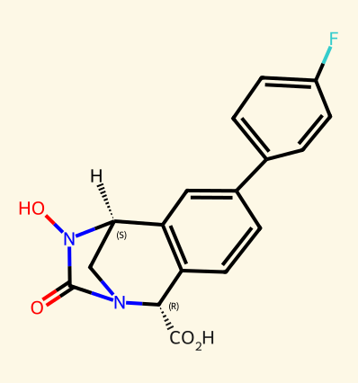 O=C(O)[C@H]1c2ccc(-c3ccc(F)cc3)cc2[C@H]2CN1C(=O)N2O